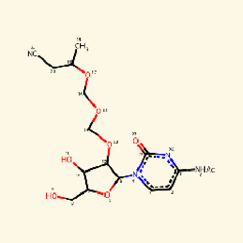 CC(=O)Nc1ccn(C2OC(CO)C(O)C2OCOCOC(C)CC#N)c(=O)n1